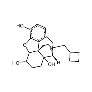 Oc1ccc2c3c1OC1[C@@H](O)CCC4(O)[C@@H](C2)N(CC2CCC2)CC[C@]314